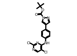 CC(C)(C)OC(=O)n1cc(-c2ccc(Nc3nc(Cl)ncc3Cl)cc2)cn1